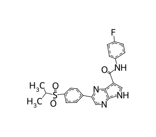 CC(C)S(=O)(=O)c1ccc(-c2cnc3[nH]cc(C(=O)Nc4ccc(F)cc4)c3n2)cc1